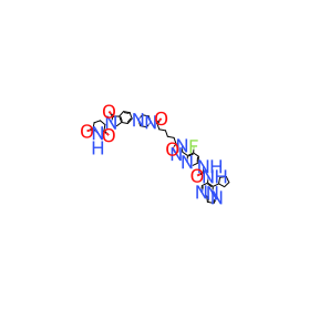 O=C1CCC(N2Cc3cc(N4CCN(C(=O)CCCCc5nc(-c6ncc(NC(=O)Nc7cnc8ccnn8c7C7CCCC7)cc6F)no5)CC4)ccc3C2=O)C(=O)N1